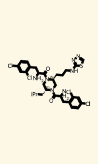 CC(C)C[C@@H]1CN(C(=O)C(N)Cc2ccc(Cl)cc2Cl)[C@@H](CCCNc2nncs2)CN1C(=O)C(N)Cc1ccc(Cl)cc1Cl